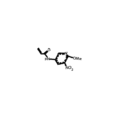 C=CC(=O)Nc1[c]nc(OC)c([N+](=O)[O-])c1